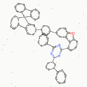 c1ccc(-c2cccc(-c3nc(-c4ccccc4)nc(-c4cccc5oc6ccc(-c7ccc(-c8ccc9c(c8)C8(c%10ccccc%10-c%10ccccc%108)c8ccccc8-9)cc7)cc6c45)n3)c2)cc1